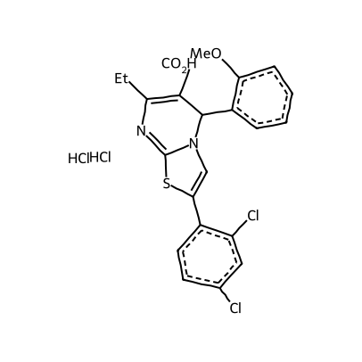 CCC1=C(C(=O)O)C(c2ccccc2OC)N2C=C(c3ccc(Cl)cc3Cl)SC2=N1.Cl.Cl